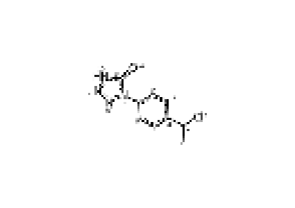 CC(Cl)c1ccc(-n2nn[nH]c2=O)cc1